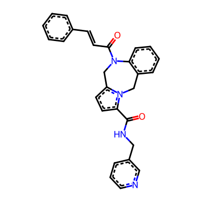 O=C(NCc1cccnc1)c1ccc2n1Cc1ccccc1N(C(=O)C=Cc1ccccc1)C2